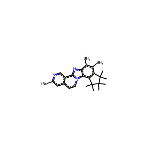 Bc1c2c(c3c(nc4c5cnc(C(C)(C)C)cc5ccn43)c1B)C(C)(C)C(C)(C)C2(C)C